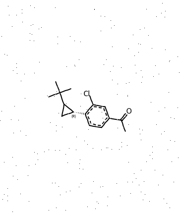 CC(=O)c1ccc([C@@H]2CC2C(C)(C)C)c(Cl)c1